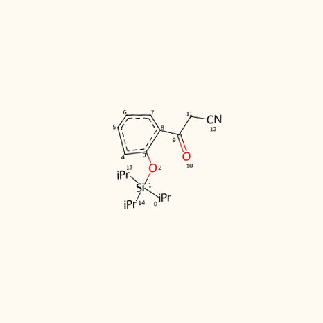 CC(C)[Si](Oc1ccccc1C(=O)CC#N)(C(C)C)C(C)C